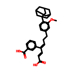 COc1cc(CCC=C(C=CC(=O)O)c2cccc(C(=O)O)c2)ccc1C12CC3CC(CC(C3)C1)C2